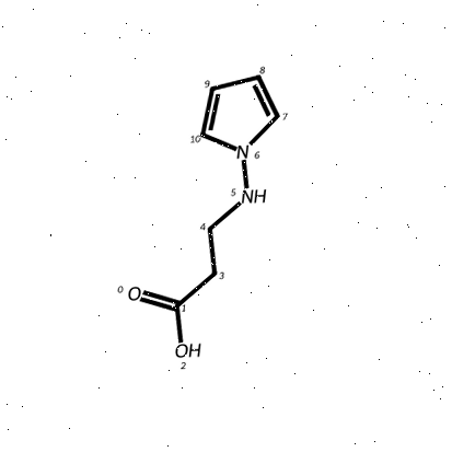 O=C(O)CCNn1cccc1